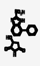 O=C1CC(O)C(=O)N1.O=S(=O)(O)c1nc2cccc(-c3ccccc3)c2[nH]1